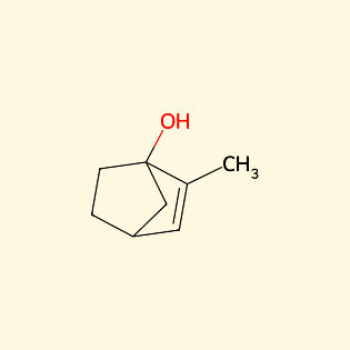 CC1=CC2CCC1(O)C2